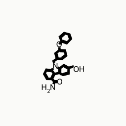 NC(=O)c1cccc2c1c1[c]cc(CO)cc1n2Cc1cccc(Oc2ccccc2)c1